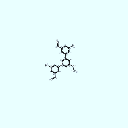 COc1cc(-c2cc(Br)cc(C=O)c2)cc(-c2cc(Br)cc(C=O)c2)c1